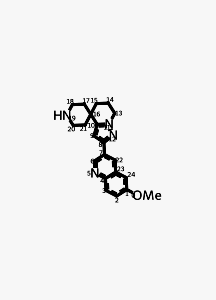 COc1ccc2ncc(-c3cc4n(n3)CCCC43CCNCC3)cc2c1